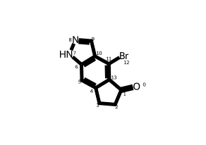 O=C1CCc2cc3[nH]ncc3c(Br)c21